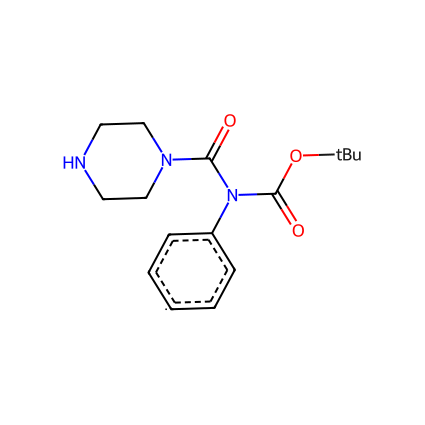 CC(C)(C)OC(=O)N(C(=O)N1CCNCC1)c1cc[c]cc1